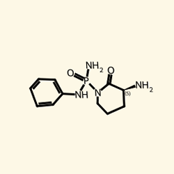 N[C@H]1CCCN(P(N)(=O)Nc2ccccc2)C1=O